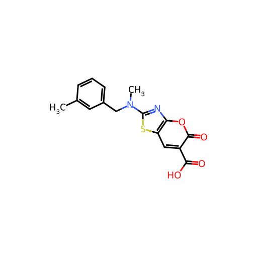 Cc1cccc(CN(C)c2nc3oc(=O)c(C(=O)O)cc3s2)c1